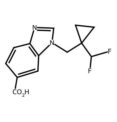 O=C(O)c1ccc2ncn(CC3(C(F)F)CC3)c2c1